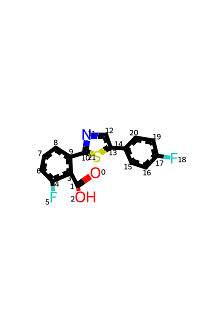 O=C(O)c1c(F)cccc1-c1ncc(-c2ccc(F)cc2)s1